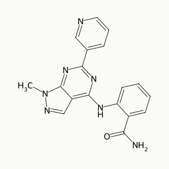 Cn1ncc2c(Nc3ccccc3C(N)=O)nc(-c3cccnc3)nc21